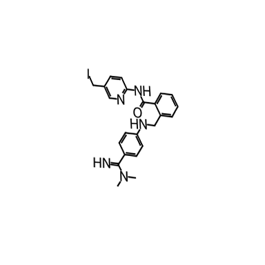 CN(C)C(=N)c1ccc(NCc2ccccc2C(=O)Nc2ccc(CI)cn2)cc1